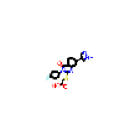 O=C(O)CSc1nc2cc(-c3cn[nH]c3)ccc2c(=O)n1-c1ccc(F)cc1